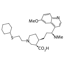 CN[C@@H](CC[C@@H]1CCN(CCSC2CCCCC2)C[C@@H]1C(=O)O)c1ccnc2ccc(OC)cc12